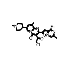 CCc1nc(C)cn2nc(-c3nc4c(C)cc(C5CCN(C)CC5)cn4c(=O)c3C(=O)CCl)cc12